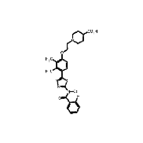 CCN(C(=O)c1ccccc1F)c1nnc(-c2ccc(OCCN3CCC(C(=O)O)CC3)c(C)c2C)s1